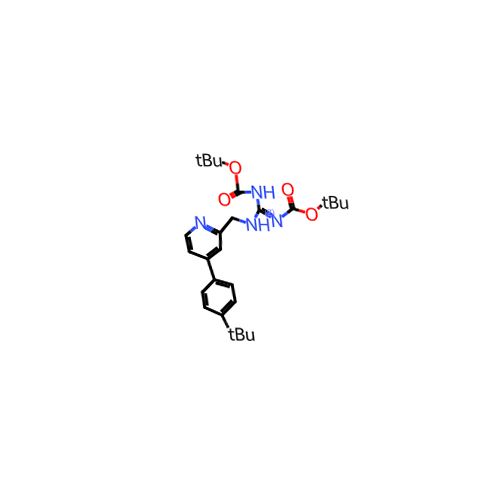 CC(C)(C)OC(=O)/N=C(/NCc1cc(-c2ccc(C(C)(C)C)cc2)ccn1)NC(=O)OC(C)(C)C